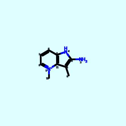 Cc1c(N)[nH]c2ccc[n+](C)c12